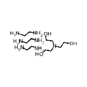 NCCN.NCCN.NCCN.OCCN(CCO)CCO